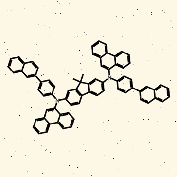 CC1(C)c2cc(N(c3ccc(-c4ccc5ccccc5c4)cc3)c3cc4ccccc4c4ccccc34)ccc2-c2ccc(N(c3ccc(-c4ccc5ccccc5c4)cc3)c3cc4ccccc4c4ccccc34)cc21